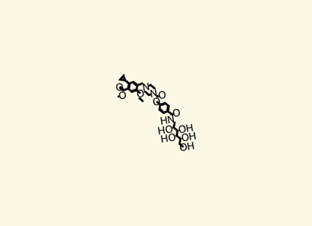 CCOc1cc(C(=O)OC)c(C2CC2)cc1CN1CCN(C(=O)Oc2ccc(C(=O)NC[C@H](O)[C@@H](O)[C@H](O)[C@H](O)CO)cc2)CC1